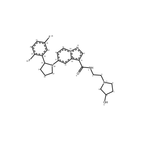 O=C(NCCN1CCC(O)C1)c1cnn2ccc(N3CCCC3c3cc(F)ccc3F)cc12